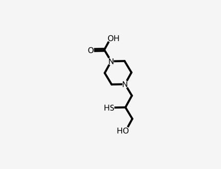 O=C(O)N1CCN(CC(S)CO)CC1